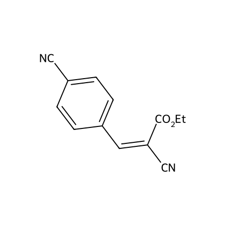 CCOC(=O)/C(C#N)=C\c1ccc(C#N)cc1